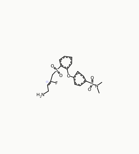 CN(C)S(=O)(=O)c1ccc(Oc2ccccc2S(=O)(=O)C/C(F)=C/CN)cc1